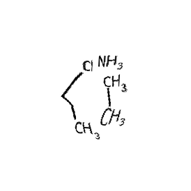 CC.CCCl.N